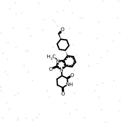 Cn1c(=O)n(C2CCC(=O)NC2=O)c2cccc([C@H]3CC[C@H](C=O)CC3)c21